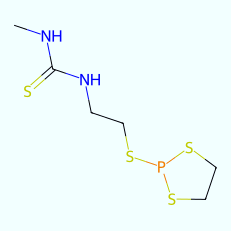 CNC(=S)NCCSP1SCCS1